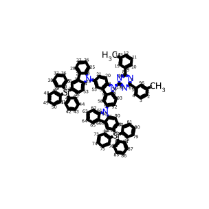 Cc1cccc(-c2nc(-c3cccc(C)c3)nc(-n3c4ccc(-n5c6ccccc6c6cc([Si](c7ccccc7)(c7ccccc7)c7ccccc7)ccc65)cc4c4cc(-n5c6ccccc6c6cc([Si](c7ccccc7)(c7ccccc7)c7ccccc7)ccc65)ccc43)n2)c1